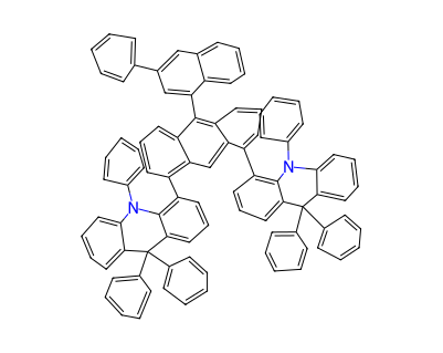 c1ccc(-c2cc(-c3c4cccc(-c5cccc6c5N(c5ccccc5)c5ccccc5C6(c5ccccc5)c5ccccc5)c4cc4c(-c5cccc6c5N(c5ccccc5)c5ccccc5C6(c5ccccc5)c5ccccc5)cccc34)c3ccccc3c2)cc1